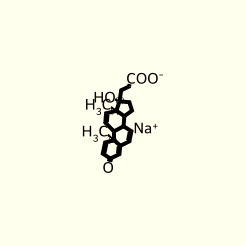 C[C@]12C=CC(=O)C=C1C=CC1C2C=C[C@@]2(C)C1CC[C@@]2(O)CCC(=O)[O-].[Na+]